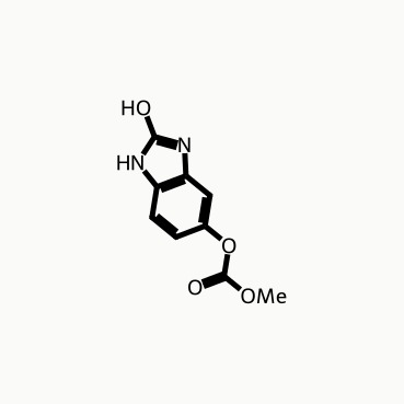 COC(=O)Oc1ccc2[nH]c(O)nc2c1